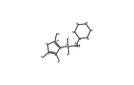 CC1=C(C)C([Si](C)(C)NC2CCCCC2)=C(C)C1